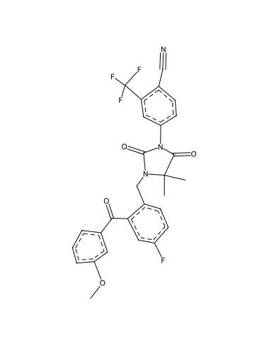 COc1cccc(C(=O)c2cc(F)ccc2CN2C(=O)N(c3ccc(C#N)c(C(F)(F)F)c3)C(=O)C2(C)C)c1